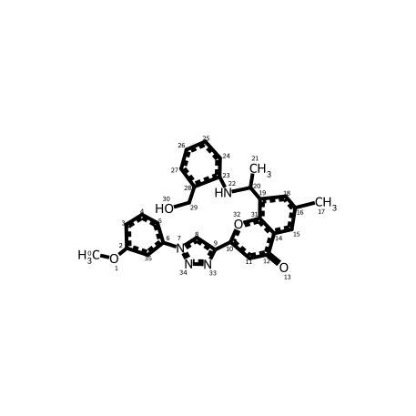 COc1cccc(-n2cc(-c3cc(=O)c4cc(C)cc(C(C)Nc5ccccc5CO)c4o3)nn2)c1